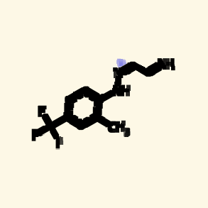 Cc1cc(C(F)(F)F)ccc1N/N=C\C=N